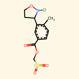 Cc1ccc(C(=O)OC[SH](=O)=O)cc1C1CCON1Cl